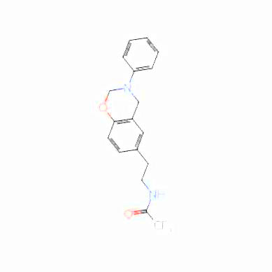 O=C(NCCc1ccc2c(c1)CN(c1c[c][c]cc1)CO2)C(F)(F)F